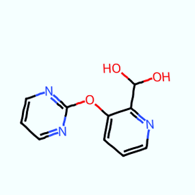 OC(O)c1ncccc1Oc1ncccn1